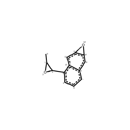 CC1OC1c1cccc2cc3c(cc12)O3